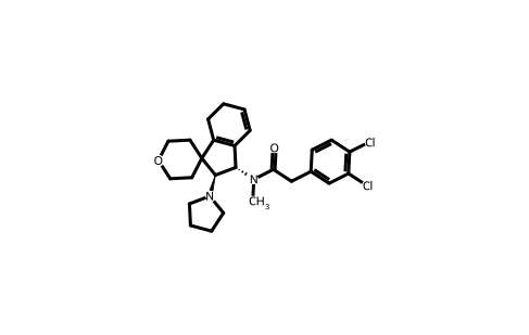 CN(C(=O)Cc1ccc(Cl)c(Cl)c1)[C@H]1C2=C(CCC=C2)C2(CCOCC2)[C@@H]1N1CCCC1